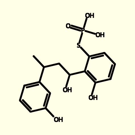 CC(CC(O)c1c(O)cccc1SP(=O)(O)O)c1cccc(O)c1